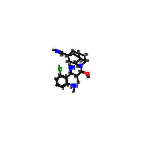 CNc1cccc(Cl)c1C(=N)C(C)C(=O)N1C2CC3CC1CC(C#N)(C3)C2